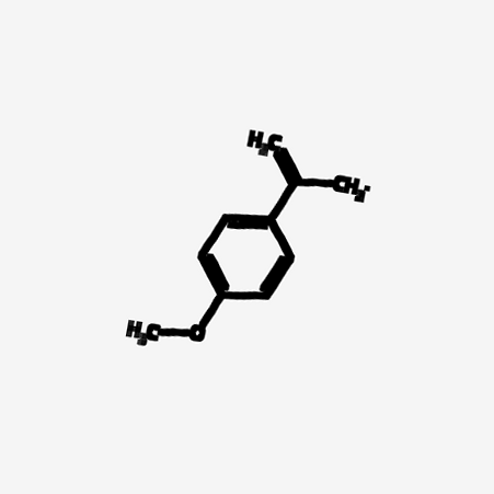 [CH2]C(=C)c1ccc(OC)cc1